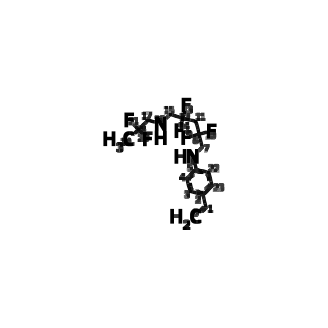 C=Cc1ccc(NCC(F)(F)CC(F)(F)CNCC(C)(F)F)cc1